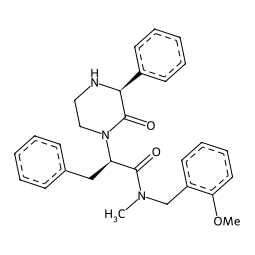 COc1ccccc1CN(C)C(=O)[C@@H](Cc1ccccc1)N1CCN[C@@H](c2ccccc2)C1=O